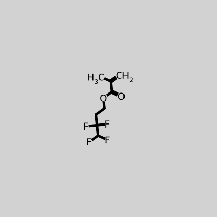 C=C(C)C(=O)OCCC(F)(F)C(F)F